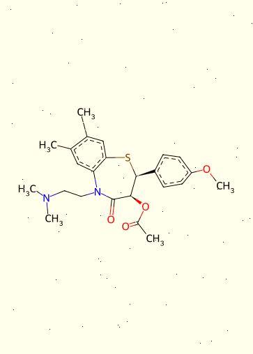 COc1ccc([C@@H]2Sc3cc(C)c(C)cc3N(CCN(C)C)C(=O)[C@@H]2OC(C)=O)cc1